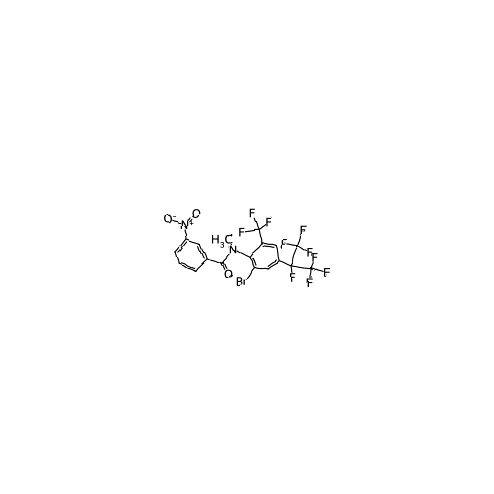 CN(C(=O)c1cccc([N+](=O)[O-])c1)c1c(Br)cc(C(F)(C(F)(F)F)C(F)(F)F)cc1C(F)(F)F